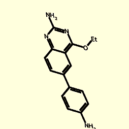 CCOc1nc(N)nc2ccc(-c3ccc(N)cc3)cc12